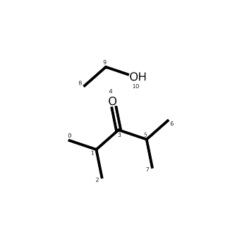 CC(C)C(=O)C(C)C.CCO